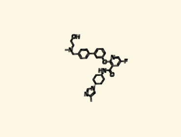 Cc1cn([C@H]2CC[C@H](NC(=O)c3cc(F)cnc3Oc3cccc(-c4ccc(CN(C)CCO)cc4)c3)CC2)cn1